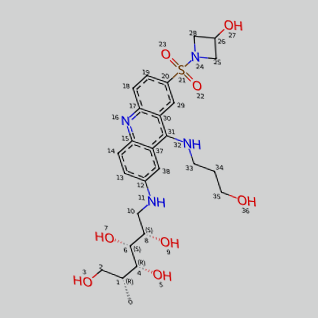 C[C@H](CO)[C@@H](O)[C@H](O)[C@@H](O)CNc1ccc2nc3ccc(S(=O)(=O)N4CC(O)C4)cc3c(NCCCO)c2c1